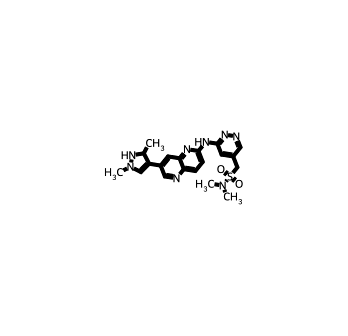 CC1NN(C)C=C1c1cnc2ccc(Nc3cc(CS(=O)(=O)N(C)C)cnn3)nc2c1